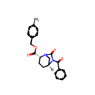 O=C(OCc1ccc([N+](=O)[O-])cc1)[C@H]1CC[C@H]2CN1C(=O)N2C(=O)c1ccccc1